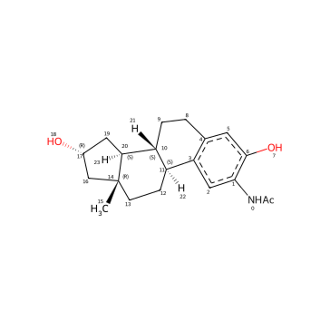 CC(=O)Nc1cc2c(cc1O)CC[C@@H]1[C@@H]2CC[C@]2(C)C[C@H](O)C[C@@H]12